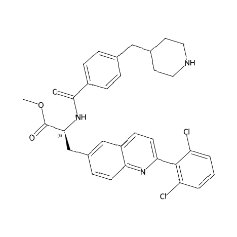 COC(=O)[C@H](Cc1ccc2nc(-c3c(Cl)cccc3Cl)ccc2c1)NC(=O)c1ccc(CC2CCNCC2)cc1